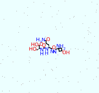 NC(=O)CC[C@H](NC(=O)N[C@@H](CO)C(=O)O)c1nnc(C2(N)CC(O)C2)o1